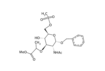 COC(=O)C(C)O[C@H]1[C@H](O)[C@@H](COS(C)(=O)=O)O[C@H](OCc2ccccc2)[C@@H]1NC(C)=O